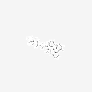 CC(C)[C@@](C)(C(=O)O)N(C)C(=O)C1CN(C(=O)[C@@H]2CCN2C(c2ccccc2)(c2ccccc2)c2ccccc2)C1